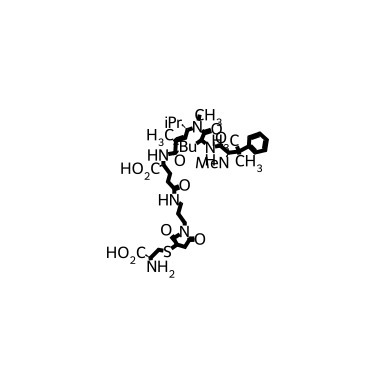 CN[C@H](C(=O)NC(C(=O)N(C)[C@H](/C=C(\C)C(=O)N[C@H](CCC(=O)NCCCN1C(=O)CC(SC[C@H](N)C(=O)O)C1=O)C(=O)O)C(C)C)C(C)(C)C)C(C)(C)c1ccccc1